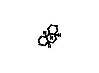 [CH]1CC[C@@H]2[C@@H](C1)CC[C@H]1C[CH]CC[C@@H]12